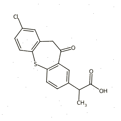 CC(C(=O)O)c1ccc2c(c1)C(=O)Cc1cc(Cl)ccc1S2